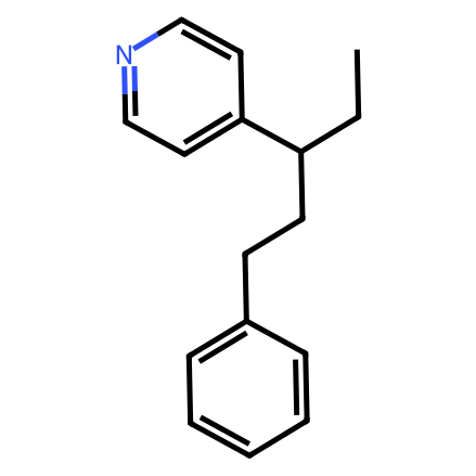 CCC(CCc1ccccc1)c1ccncc1